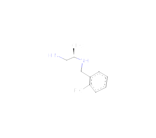 NC[C@@H](C=O)NCc1ccccc1C(F)(F)F